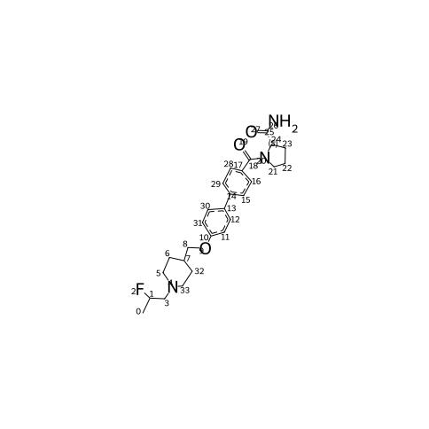 CC(F)CN1CCC(COc2ccc(-c3ccc(C(=O)N4CCC[C@H]4C(N)=O)cc3)cc2)CC1